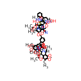 COc1c(C)cc2c(c1O)[C@H]1[C@@H]3[C@@H]4SC[C@]5(N[C@H](CO)Cc6c5[nH]c5ccccc65)C(=O)OC[C@@H](c5c6c(c(C)c(OC(C)=O)c54)OC(c4ccc5oc7c(c5c4)C[C@@H](CO)N[C@]74CS[C@@H]5c7c(OC(C)=O)c(C)c8c(c7[C@H](COC4=O)N4[C@@H]5[C@@H]5c7c(cc(C)c(OC)c7O)C[C@H]([C@@H]4C)N5C)OCO8)O6)N3C(C#N)(C2)CN1C